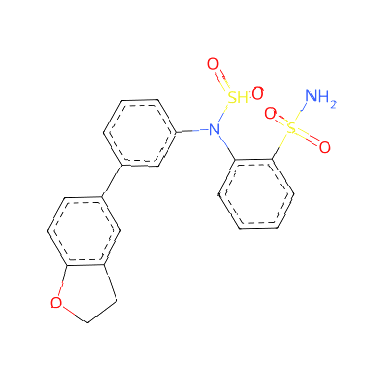 NS(=O)(=O)c1ccccc1N(c1cccc(-c2ccc3c(c2)CCO3)c1)[SH](=O)=O